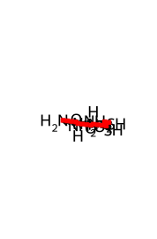 NCCCCC(N)C(=O)NCCCCC(N)C(=O)NCCOc1ccc(CS)c(CS)c1